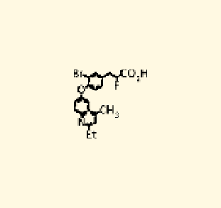 CCc1cc(C)c2cc(Oc3ccc(C[C@H](F)C(=O)O)cc3Br)ccc2n1